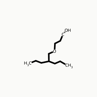 CCCC(CCC)COCCCO